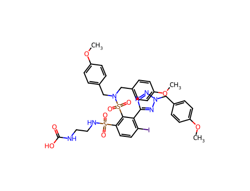 COc1ccc(CN(Cc2ccc(OC)cc2)S(=O)(=O)c2c(S(=O)(=O)NCCNC(=O)O)ccc(I)c2-c2nnn(Cc3ccc(OC)cc3)n2)cc1